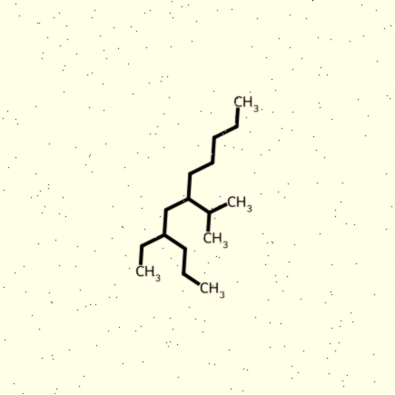 CCCCCC(CC(CC)CCC)C(C)C